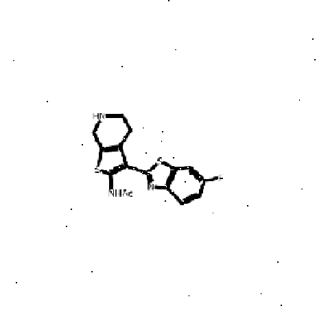 CC(=O)Nc1sc2c(c1-c1nc3ccc(F)cc3s1)CCNC2